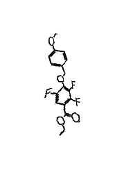 CCOC(=O)c1cc(F)c(OCc2ccc(OC)cc2)c(F)c1F